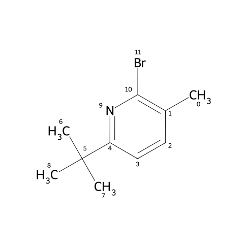 Cc1ccc(C(C)(C)C)nc1Br